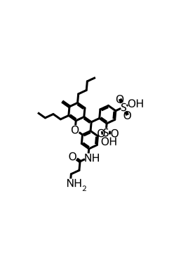 C=c1c(CCCC)cc2c(c1CCCC)Oc1cc(NC(=O)CCN)ccc1C=2c1ccc(S(=O)(=O)O)cc1S(=O)(=O)O